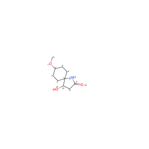 COC1CCC2(CC1)NC(=O)CC2O